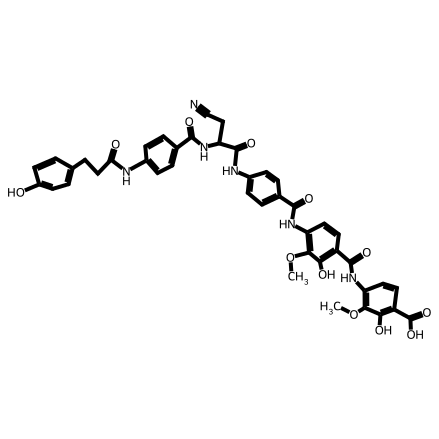 COc1c(NC(=O)c2ccc(NC(=O)c3ccc(NC(=O)C(CC#N)NC(=O)c4ccc(NC(=O)CCc5ccc(O)cc5)cc4)cc3)c(OC)c2O)ccc(C(=O)O)c1O